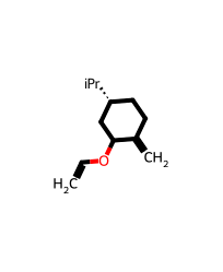 C=COC1C[C@H](C(C)C)CCC1=C